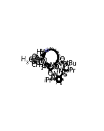 CC(C)c1nc(-c2cccc3c2nc(O[C@@H]2C[C@H]4C(=O)N[C@]5(C(=O)NS(=O)(=O)N(C)C)C[C@H]5/C=C\CCCCC[C@H](NC(=O)OC(C)(C)C)C(=O)N4C2)n3C(C)C)sc1C(C)C